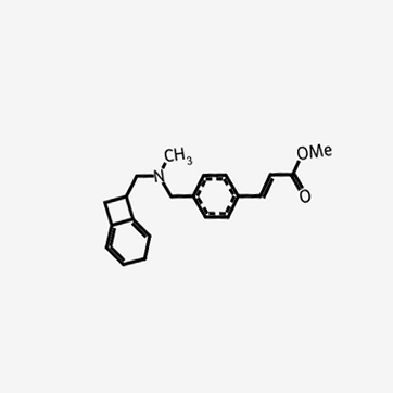 COC(=O)/C=C/c1ccc(CN(C)CC2CC3=C=CCC=C32)cc1